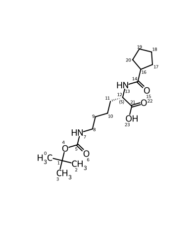 CC(C)(C)OC(=O)NCCCC[C@H](NC(=O)C1CCCC1)C(=O)O